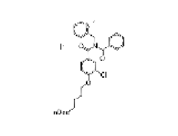 CCCCCCCCCCCCCCOc1ccc(C(=O)N(Cc2cccc[n+]2C)C(=O)c2ccccc2)cc1Cl.[I-]